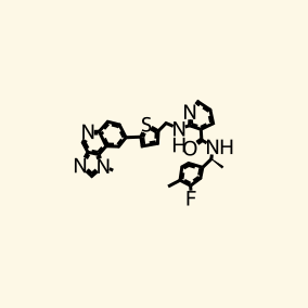 Cc1ccc([C@H](C)NC(=O)c2cccnc2NCc2ccc(-c3ccc4ncc5ncn(C)c5c4c3)s2)cc1F